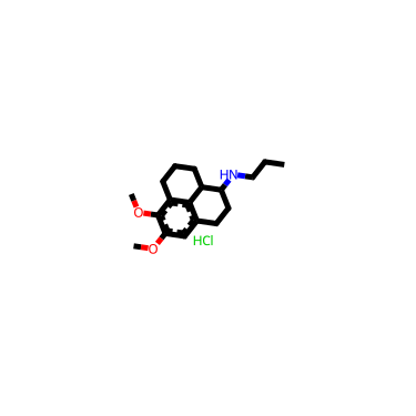 CCCNC1CCc2cc(OC)c(OC)c3c2C1CCC3.Cl